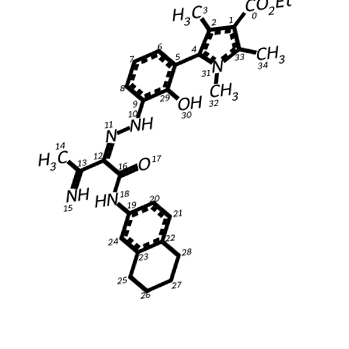 CCOC(=O)c1c(C)c(-c2cccc(N/N=C(/C(C)=N)C(=O)Nc3ccc4c(c3)CCCC4)c2O)n(C)c1C